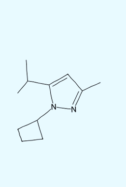 Cc1cc(C(C)C)n(C2CCC2)n1